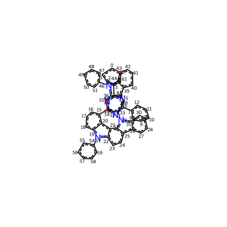 c1ccc(-c2nc(-c3ccccc3)nc(-c3cccc4c3c3c(ccc5c6ccccc6n(-c6ccc7c(c6)c6ccccc6n7-c6ccccc6)c53)n4-c3ccccc3)n2)cc1